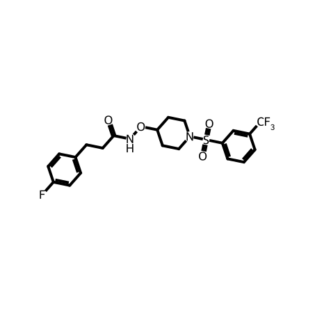 O=C(CCc1ccc(F)cc1)NOC1CCN(S(=O)(=O)c2cccc(C(F)(F)F)c2)CC1